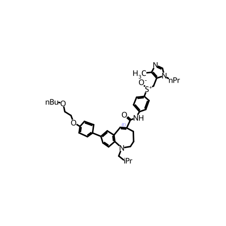 CCCCOCCOc1ccc(-c2ccc3c(c2)/C=C(/C(=O)Nc2ccc([S+]([O-])Cc4c(C)ncn4CCC)cc2)CCCN3CC(C)C)cc1